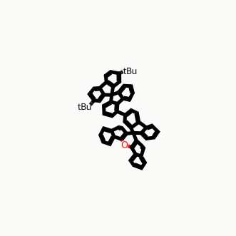 CC(C)(C)c1ccc2c(c1)C1(c3cc(C(C)(C)C)ccc3-2)c2ccccc2-c2c(-c3ccc4c(c3)C3(c5ccccc5-4)c4ccc5ccccc5c4Oc4c3ccc3ccccc43)cccc21